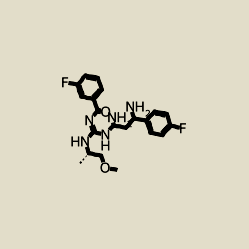 COC[C@H](C)N/C(=N/C(=O)c1cccc(F)c1)NC(N)CC(N)c1ccc(F)cc1